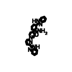 NC(=O)C1(C2CCN(c3cccc(-c4nc5ccccc5[nH]4)n3)CC2)CCCC(c2nc3ccccc3[nH]2)C1